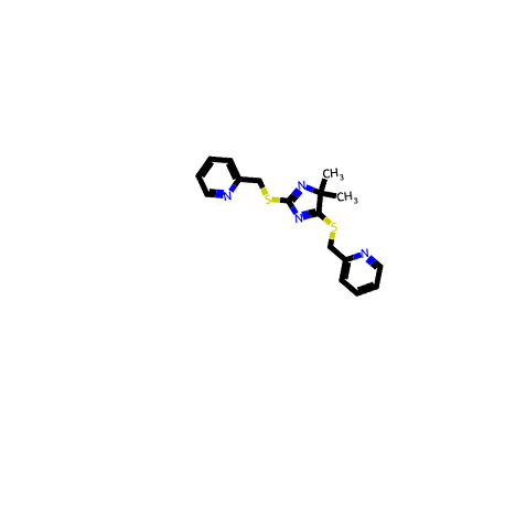 CC1(C)N=C(SCc2ccccn2)N=C1SCc1ccccn1